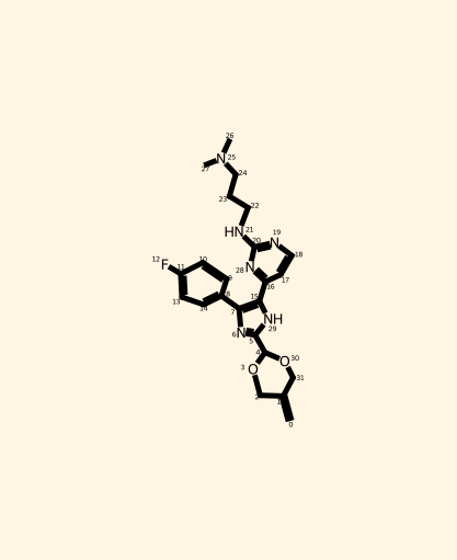 C=C1COC(c2nc(-c3ccc(F)cc3)c(-c3ccnc(NCCCN(C)C)n3)[nH]2)OC1